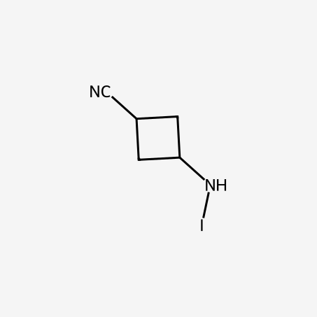 N#CC1CC(NI)C1